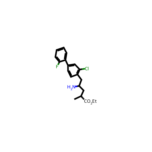 CCOC(=O)C(C)CC(N)Cc1ccc(-c2ccccc2F)cc1Cl